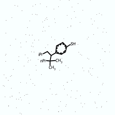 CCCC(C)(C)C(CC(C)C)c1ccc(S)cc1